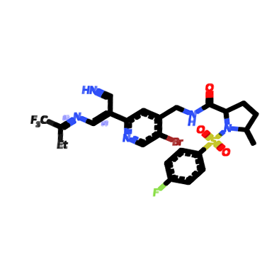 CC/C(=N\C=C(/C=N)c1cc(CNC(=O)C2CCC(C)N2S(=O)(=O)c2ccc(F)cc2)c(Br)cn1)C(F)(F)F